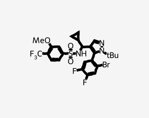 COc1cc(S(=O)(=O)NC(c2cnn(C(C)(C)C)c2-c2cc(F)c(F)cc2Br)C2CC2)ccc1C(F)(F)F